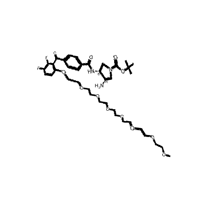 COCCOCCOCCOCCOCCOCCOCCOc1ccc(F)c(F)c1C(=O)c1ccc(C(=O)N[C@@H]2CN(C(=O)OC(C)(C)C)C[C@H]2N)cc1